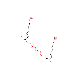 CCC(C=CCCCCBr)CCOCOCOCCC(C=CCCCCBr)CC